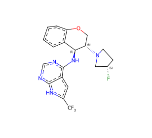 F[C@H]1CCN([C@H]2COc3ccccc3[C@@H]2Nc2ncnc3[nH]c(C(F)(F)F)cc23)C1